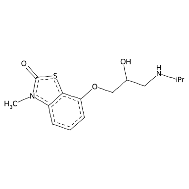 CC(C)NCC(O)COc1cccc2c1sc(=O)n2C